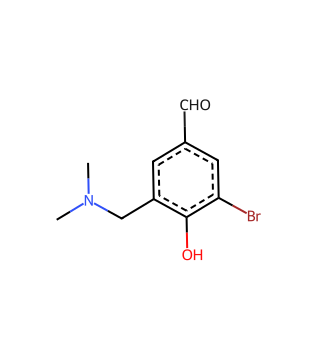 CN(C)Cc1cc(C=O)cc(Br)c1O